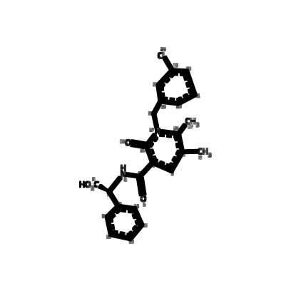 Cc1cc(C(=O)N[C@H](C(=O)O)c2ccccc2)c(=O)n(Cc2cccc(Cl)c2)c1C